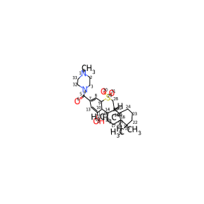 CN1CCN(C(=O)C2=CC3C(C(O)=C2)[C@]2(C)CC[C@H]4C(C)(C)CCC[C@]4(C)[C@H]2CS3(=O)=O)CC1